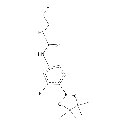 CC1(C)OB(c2ccc(NC(=O)NCCF)cc2F)OC1(C)C